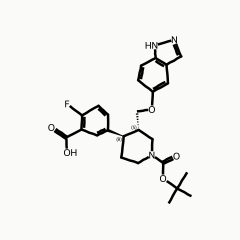 CC(C)(C)OC(=O)N1CC[C@@H](c2ccc(F)c(C(=O)O)c2)[C@H](COc2ccc3[nH]ncc3c2)C1